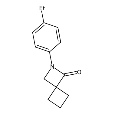 CCc1ccc(N2CC3(CCC3)C2=O)cc1